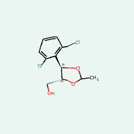 CC1O[C@H](c2c(Cl)cccc2Cl)[C@@H](CO)O1